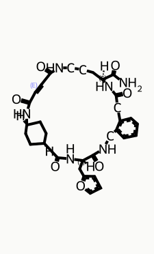 NC(=O)[C@@H]1CCCNC(=O)/C=C/C(=O)N[C@H]2CC[C@H](CC2)C(=O)N[C@@H](Cc2ccco2)C(=O)NCc2ccccc2CC(=O)N1